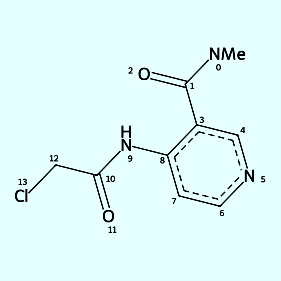 CNC(=O)c1cnccc1NC(=O)CCl